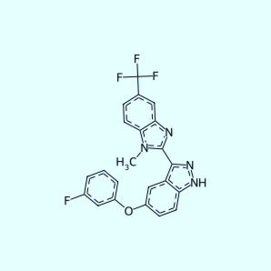 Cn1c(-c2n[nH]c3ccc(Oc4cccc(F)c4)cc23)nc2cc(C(F)(F)F)ccc21